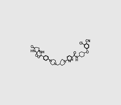 N#Cc1ccc(OC2CCC(NC(=O)c3ccc(N4CCC(CN5CCN(c6ccc(C(=O)N[C@@H]7CCC(=O)NC7=O)cc6)CC5)CC4)nn3)CC2)cc1Cl